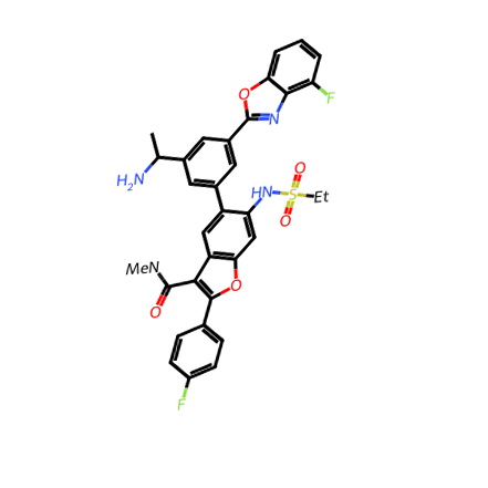 CCS(=O)(=O)Nc1cc2oc(-c3ccc(F)cc3)c(C(=O)NC)c2cc1-c1cc(-c2nc3c(F)cccc3o2)cc(C(C)N)c1